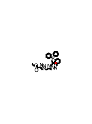 CCOC(=O)c1cn(Cc2cn3nccc(C[PH](c4ccccc4)(c4ccccc4)c4ccccc4)c3n2)nn1